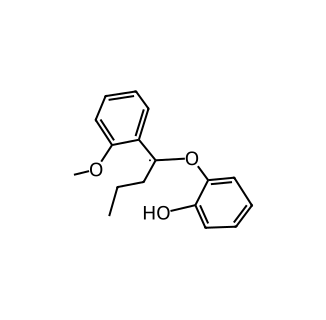 CCC[C](Oc1ccccc1O)c1ccccc1OC